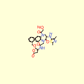 Cc1nc(C)c(N[C@H]2CN(C(=O)CO)c3ccccc3N(CC(=O)N[C@H]3CC(=O)OC3OCc3ccccc3)C2=O)s1